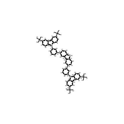 CC(C)(C)c1ccc2c(c1)c1cc(C(C)(C)C)ccc1n2-c1cccc(-c2ccc3sc4ccc(-c5cccc(-n6c7ccc(C(C)(C)C)cc7c7cc(C(C)(C)C)ccc76)c5)cc4c3c2)c1